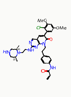 C=CC(=O)Nc1ccc(CCn2c(=O)c(-c3cc(OC)cc(OC)c3Cl)cc3cnc(NCCN4[C@H](C)CNC[C@@H]4C)nc32)cc1